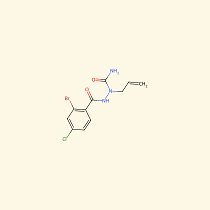 C=CCN(NC(=O)c1ccc(Cl)cc1Br)C(N)=O